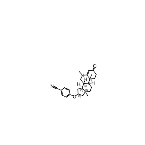 CN1C[C@H]2[C@@H]3C[C@H](Oc4ccc(C#N)cc4)C[C@@]3(C)CC[C@@H]2[C@@]2(C)CCC(=O)C=C12